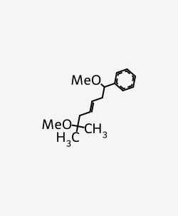 COC(CC=CCC(C)(C)OC)c1ccccc1